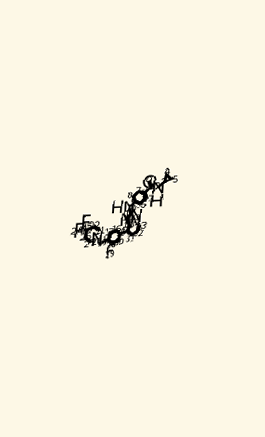 O=C(NC1CC1)c1ccc(Nc2nc3c(-c4ccc(CN5CCC(F)(F)CC5)c(F)c4)cccn3n2)cc1